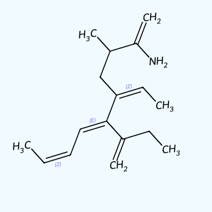 C=C(CC)C(=C\C=C/C)/C(=C\C)CC(C)C(=C)N